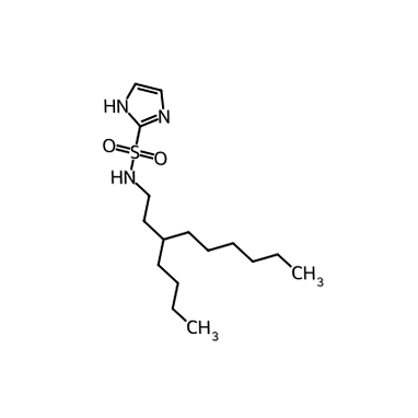 CCCCCCC(CCCC)CCNS(=O)(=O)c1ncc[nH]1